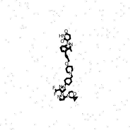 Cc1nn(C2CCC(=O)NC2=O)c2cccc(C#CCOC3CCN(CC4CCC(n5cc(-n6nccc6N6CCOC7(CC7)C6)c(C(F)F)n5)CC4)CC3)c12